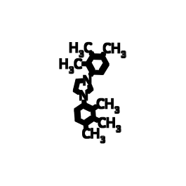 Cc1ccc(N2CCN(c3ccc(C)c(C)c3C)C2)c(C)c1C